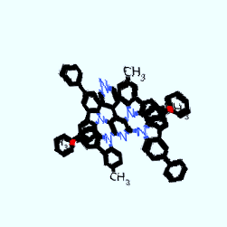 Cc1ccc2c(c1)c1cc(C)ccc1n2-c1nc(-n2c3ccc(-c4ccccc4)cc3c3cc(-c4ccccc4)ccc32)c(-n2c3ccc(C)cc3c3cc(C)ccc32)c(-c2ccncc2)c1-n1c2ccc(-c3ccccc3)cc2c2cc(-c3ccccc3)ccc21